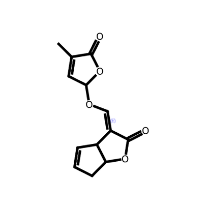 CC1=CC(O/C=C2/C(=O)OC3CC=CC23)OC1=O